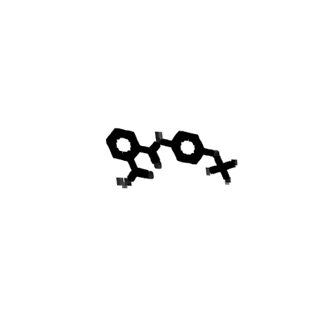 NC(=O)c1ccccc1C(=O)Nc1ccc(OC(F)(F)F)cc1